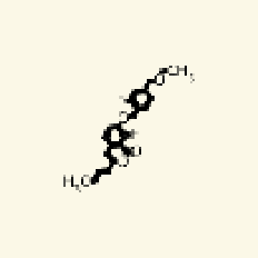 CCCCc1cc2ccc(OCc3ccc(COCC)cc3F)c(F)c2c(=O)o1